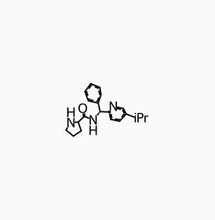 CC(C)c1ccc([C@@H](NC(=O)C2CCCN2)c2ccccc2)nc1